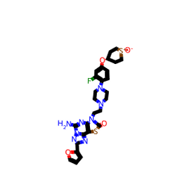 Nc1nc2c(sc(=O)n2CCN2CCN(c3ccc(O[C@H]4CC[S@+]([O-])CC4)cc3F)CC2)c2nc(-c3ccco3)nn12